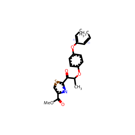 C/C=C\C(=C/C)Oc1ccc(OC(C)C(=O)c2nc(C(=O)OC)cs2)cc1